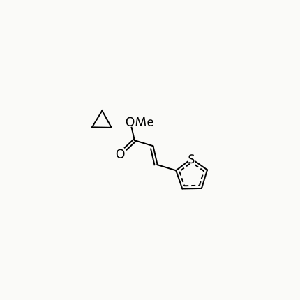 C1CC1.COC(=O)C=Cc1cccs1